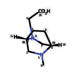 CN1C[C@@H]2CC[C@H]1CN2CC(=O)O